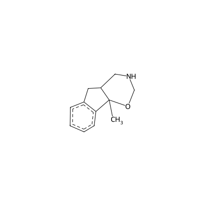 CC12OCNCC1Cc1ccccc12